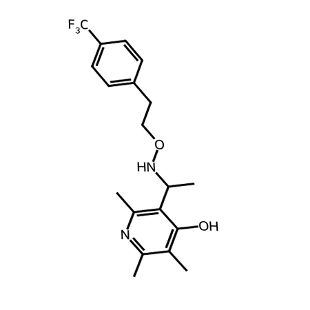 Cc1nc(C)c(C(C)NOCCc2ccc(C(F)(F)F)cc2)c(O)c1C